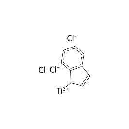 [Cl-].[Cl-].[Cl-].[Ti+3][CH]1C=Cc2ccccc21